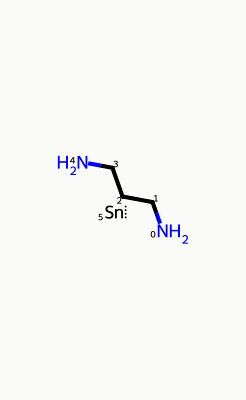 NCCCN.[Sn]